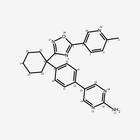 Cc1ccc(-c2nc(C3(c4ccc(-c5cnc(N)nc5)cc4)CCCCC3)no2)cn1